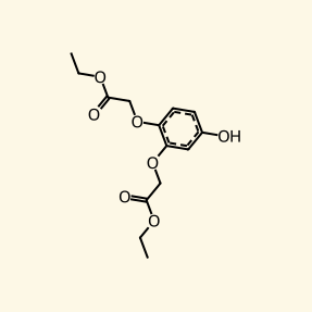 CCOC(=O)COc1ccc(O)cc1OCC(=O)OCC